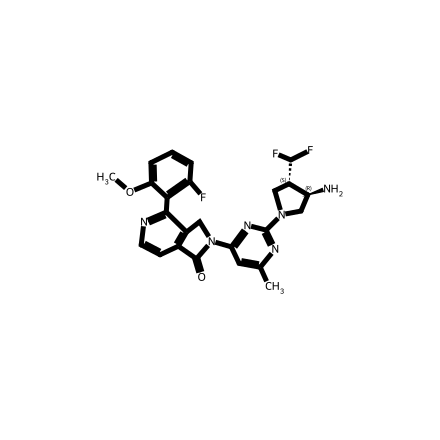 COc1cccc(F)c1-c1nccc2c1CN(c1cc(C)nc(N3C[C@H](C(F)F)[C@@H](N)C3)n1)C2=O